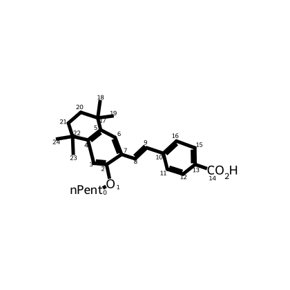 CCCCCOc1cc2c(cc1C=Cc1ccc(C(=O)O)cc1)C(C)(C)CCC2(C)C